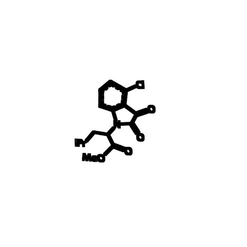 COC(=O)C(CC(C)C)N1C(=O)C(=O)c2c(Cl)cccc21